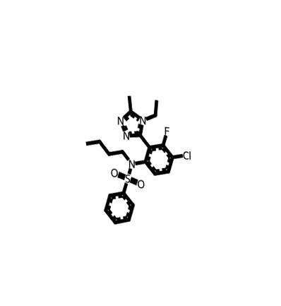 CCCCN(c1ccc(Cl)c(F)c1-c1nnc(C)n1CC)S(=O)(=O)c1ccccc1